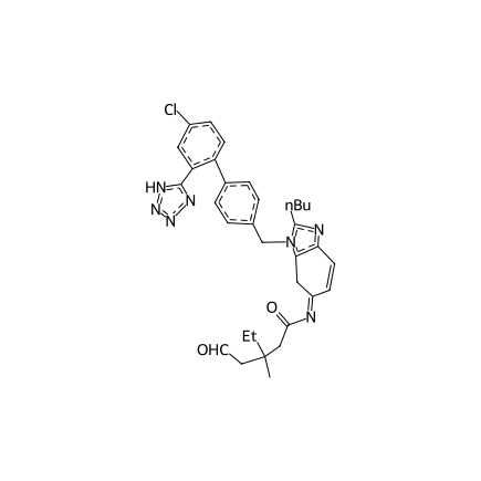 CCCCc1nc2c(n1Cc1ccc(-c3ccc(Cl)cc3-c3nnn[nH]3)cc1)CC(=NC(=O)CC(C)(CC)CC=O)C=C2